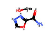 NC(=O)c1nnco1.O=CO